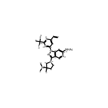 C=Cc1cc(-n2nc(N3CCC(C)(N(C)C)C3)c3cnc(NC(C)=O)cc32)nc(C(C)(F)F)n1